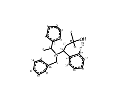 CC(c1ccccc1)N(Cc1ccccc1)C(CC(C)(C)O)c1ccccc1F